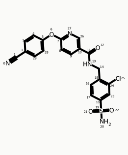 N#Cc1ccc(Oc2ccc(C(=O)NCc3ccc(S(N)(=O)=O)cc3Cl)cn2)cc1